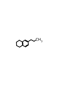 CCCc1ccc2c(c1)[CH]CCC2